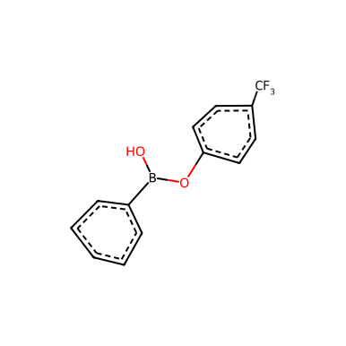 OB(Oc1ccc(C(F)(F)F)cc1)c1ccccc1